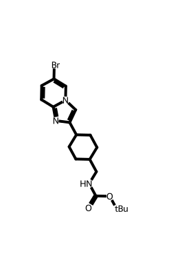 CC(C)(C)OC(=O)NCC1CCC(c2cn3cc(Br)ccc3n2)CC1